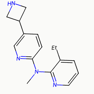 CCc1cccnc1N(C)c1ccc(C2CNC2)cn1